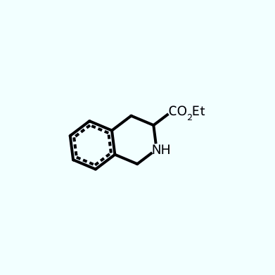 CCOC(=O)C1Cc2ccccc2CN1